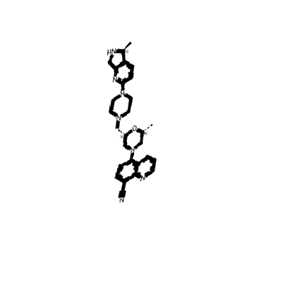 C[C@@H]1CN(c2ccc(C#N)c3ncccc23)C[C@H](CN2CCN(c3ccc4c(n3)CN[C@H]4C)CC2)O1